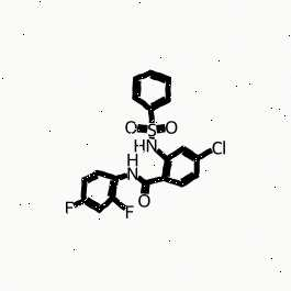 O=C(Nc1ccc(F)cc1F)c1ccc(Cl)cc1NS(=O)(=O)c1ccccc1